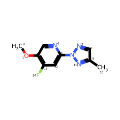 COc1cnc(-n2ncc(C)n2)cc1F